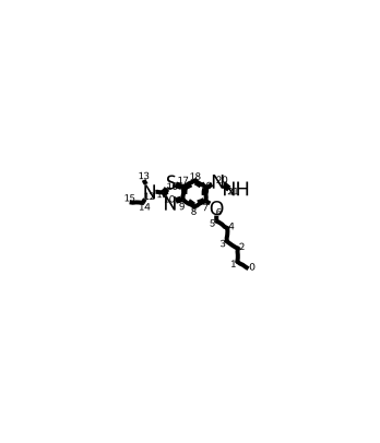 CCCCCCOc1cc2nc(N(C)CC)sc2cc1N=N